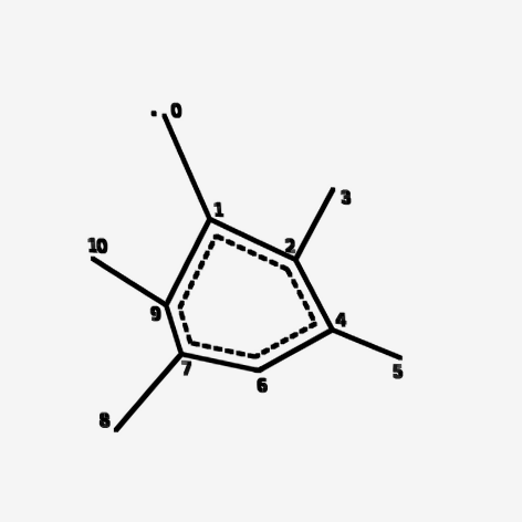 [CH2]c1c(C)c(C)cc(C)c1C